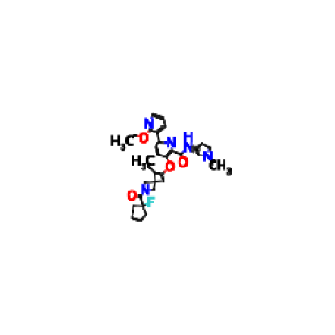 CCOc1ncccc1-c1ccc(OC2CC3(CN(C(=O)C4(F)CCCC4)C3)C2CC)c(C(=O)N[C@@H]2CCN(C)C2)n1